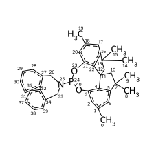 Cc1cc2c3c(c1)C(C)(C)CC31CC(C)(C)c3cc(C)cc(c31)OP(N(Cc1ccccc1)Cc1ccccc1)O2